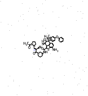 CC(=O)N1CCC[C@H]1/C=C(\C#N)C(=O)N1CCC[C@@H](NC(=O)c2sc3c(N)ccc4c3c2C(N)C(=O)C4(N)c2ccc(Oc3ccccc3)cc2C)C1